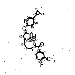 O=C(c1ccc(F)c(C(F)(F)F)c1)N1CCCN2C[C@@H](Oc3cnc(C4CC4)cn3)C[C@H]2C1